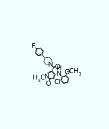 COc1ccccc1Nc1c(C(=O)N2CCC(c3ccc(F)cc3)CC2)cn(C)c(=O)c1Cl